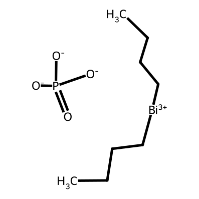 CCC[CH2][Bi+3][CH2]CCC.O=P([O-])([O-])[O-]